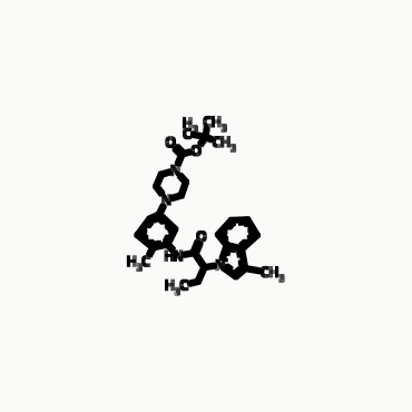 CCC(C(=O)Nc1cc(N2CCN(C(=O)OC(C)(C)C)CC2)ccc1C)n1cc(C)c2ccccc21